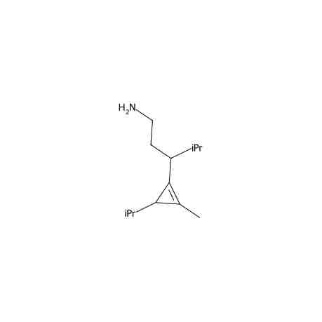 CC1=C(C(CCN)C(C)C)C1C(C)C